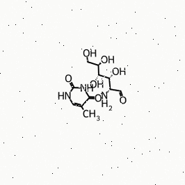 Cc1c[nH]c(=O)[nH]c1=O.N[C@@H](C=O)[C@@H](O)[C@H](O)[C@H](O)CO